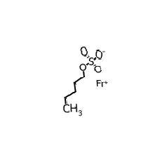 CCCCCOS(=O)(=O)[O-].[Fr+]